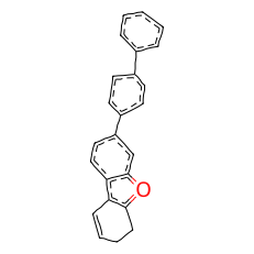 C1=Cc2c(oc3cc(-c4ccc(-c5ccccc5)cc4)ccc23)CC1